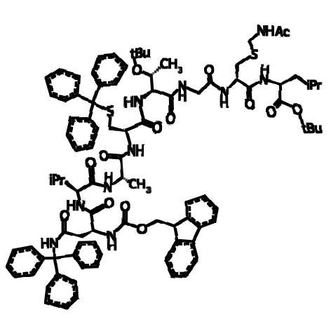 CC(=O)NCSC[C@H](NC(=O)CNC(=O)[C@@H](NC(=O)[C@H](CSC(c1ccccc1)(c1ccccc1)c1ccccc1)NC(=O)[C@H](C)NC(=O)[C@@H](NC(=O)[C@H](CC(=O)NC(c1ccccc1)(c1ccccc1)c1ccccc1)NC(=O)OCC1c2ccccc2-c2ccccc21)C(C)C)[C@@H](C)OC(C)(C)C)C(=O)N[C@@H](CC(C)C)C(=O)OC(C)(C)C